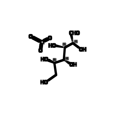 O=C[C@H](O)[C@@H](O)[C@H](O)[C@H](O)CO.[O]=[Cr](=[O])=[O]